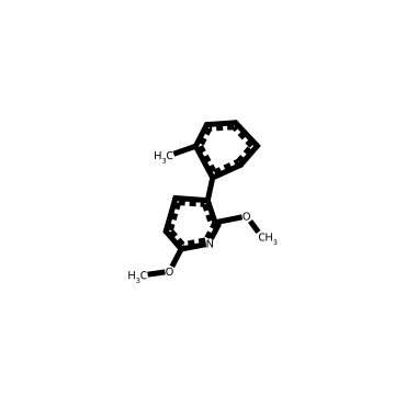 COc1ccc(-c2ccccc2C)c(OC)n1